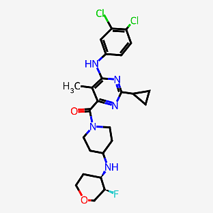 Cc1c(Nc2ccc(Cl)c(Cl)c2)nc(C2CC2)nc1C(=O)N1CCC(N[C@@H]2CCOC[C@@H]2F)CC1